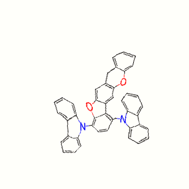 c1ccc2c(c1)Cc1cc3oc4c(-n5c6ccccc6c6ccccc65)ccc(-n5c6ccccc6c6ccccc65)c4c3cc1O2